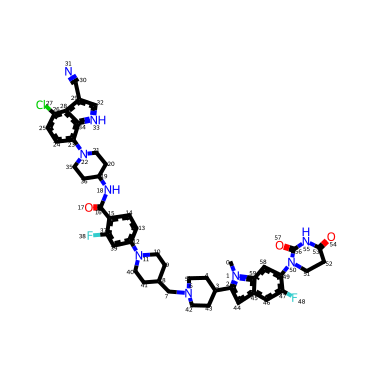 Cn1c(C2CCN(CC3CCN(c4ccc(C(=O)NC5CCN(c6ccc(Cl)c7c(C#N)c[nH]c67)CC5)c(F)c4)CC3)CC2)cc2cc(F)c(N3CCC(=O)NC3=O)cc21